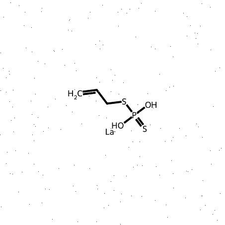 C=CCSP(O)(O)=S.[La]